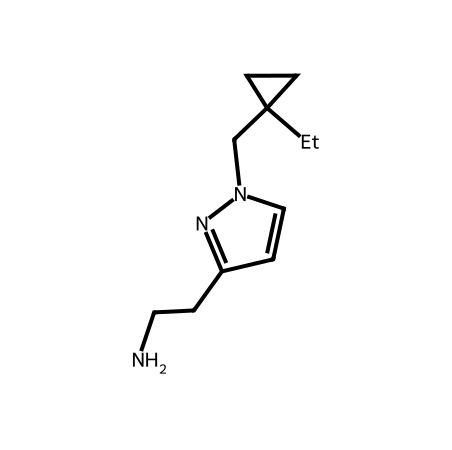 CCC1(Cn2ccc(CCN)n2)CC1